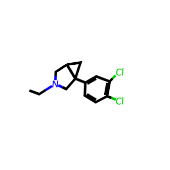 CCN1CC2CC2(c2ccc(Cl)c(Cl)c2)C1